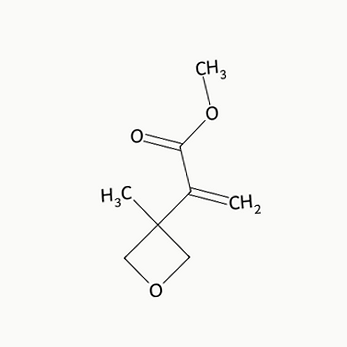 C=C(C(=O)OC)C1(C)COC1